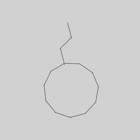 CCC[C]1CCCCCCCCCC1